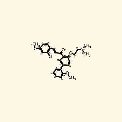 COc1ccc(C=CC(=O)c2cc(-c3ccccc3OC)ccc2OCCN(C)C)c(Cl)c1